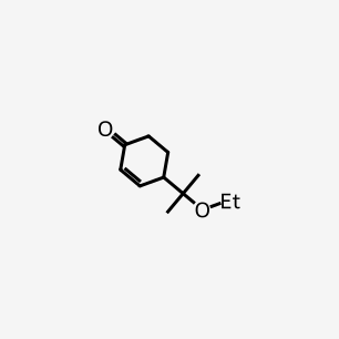 CCOC(C)(C)C1C=CC(=O)CC1